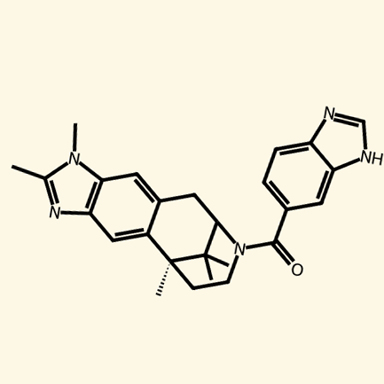 Cc1nc2cc3c(cc2n1C)CC1N(C(=O)c2ccc4nc[nH]c4c2)CC[C@]3(C)C1(C)C